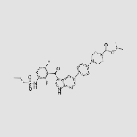 CCCS(=O)(=O)Nc1ccc(F)c(C(=O)c2c[nH]c3ncc(-c4ccc(N5CCN(C(=O)OC(C)C)CC5)cc4)cc23)c1F